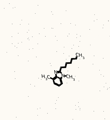 CCCCCCCc1nc2c(C)cccc2n1C